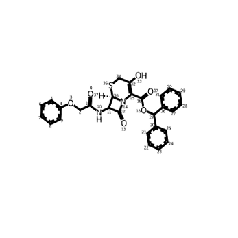 O=C(COc1ccccc1)NC1C(=O)N2C(C(=O)OC(c3ccccc3)c3ccccc3)=C(O)CS[C@H]12